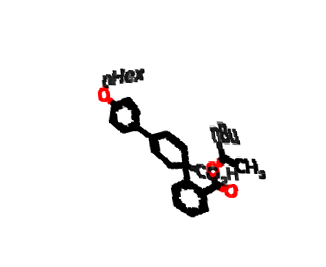 CCCCCCOc1ccc(C2=CCC(C(=O)O)(c3ccccc3C(=O)OC(C)CCCC)C=C2)cc1